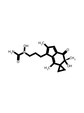 CC1=C(CCCN(O)C(N)=O)C2=C(C)C3(CC3)[C@@](C)(O)C(=O)C2=C1